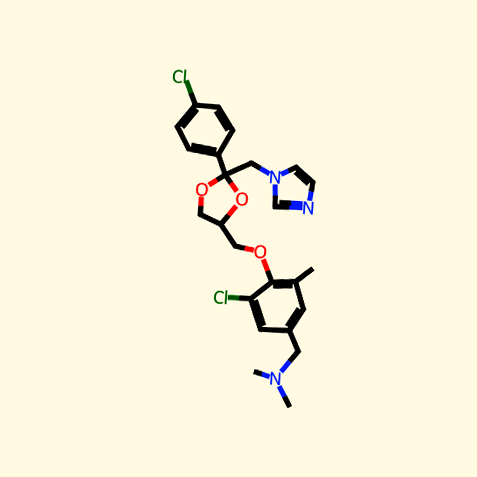 Cc1cc(CN(C)C)cc(Cl)c1OCC1COC(Cn2ccnc2)(c2ccc(Cl)cc2)O1